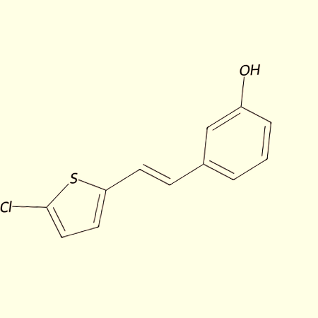 Oc1cccc(/C=C/c2ccc(Cl)s2)c1